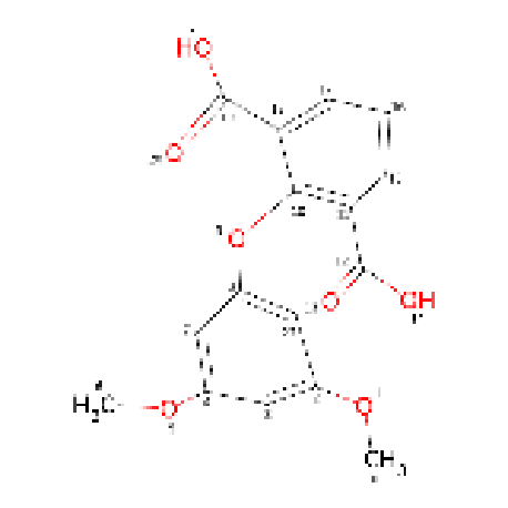 COc1cc(OC)cc(Oc2c(C(=O)O)cccc2C(=O)O)c1